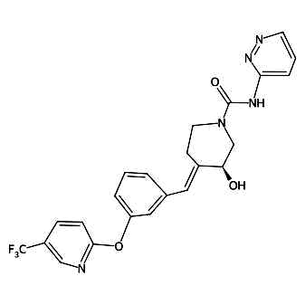 O=C(Nc1cccnn1)N1CC/C(=C\c2cccc(Oc3ccc(C(F)(F)F)cn3)c2)[C@H](O)C1